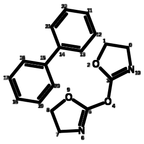 C1COC(OC2=NCCO2)=N1.c1ccc(-c2ccccc2)cc1